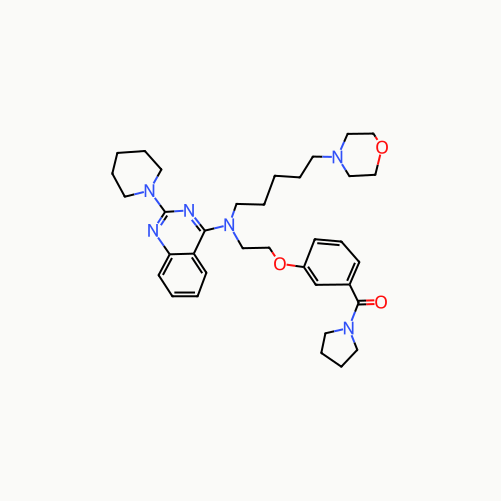 O=C(c1cccc(OCCN(CCCCCN2CCOCC2)c2nc(N3CCCCC3)nc3ccccc23)c1)N1CCCC1